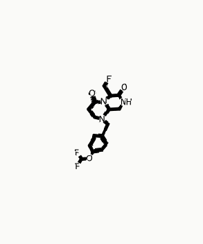 O=C1NCC2N(Cc3ccc(OC(F)F)cc3)CCC(=O)N2C1CF